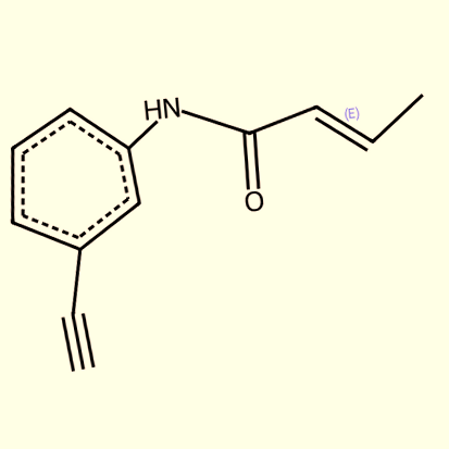 C#Cc1cccc(NC(=O)/C=C/C)c1